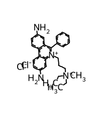 CC[N+](C)(CC)CCC[n+]1c(-c2ccccc2)c2cc(N)ccc2c2ccc(N)cc21.[Cl-].[Cl-]